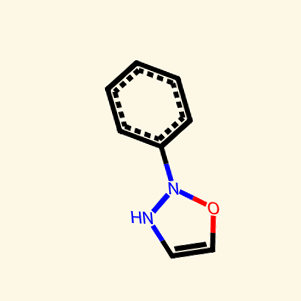 C1=CON(c2ccccc2)N1